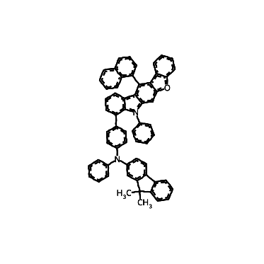 CC1(C)c2ccccc2-c2ccc(N(c3ccccc3)c3ccc(-c4cccc5c6c(-c7cccc8ccccc78)c7c(cc6n(-c6ccccc6)c45)oc4ccccc47)cc3)cc21